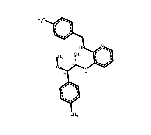 CO[C@H](c1ccc(C)cc1)[C@H](C)Nc1cccnc1NCc1ccc(C)cc1